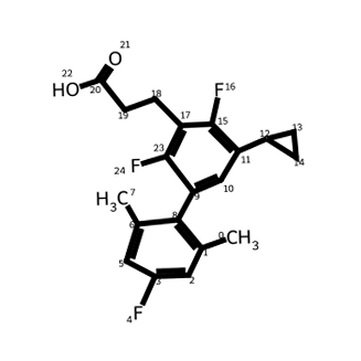 Cc1cc(F)cc(C)c1-c1cc(C2CC2)c(F)c(CCC(=O)O)c1F